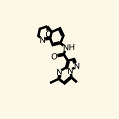 Cc1cc(C)n2ncc(C(=O)NC3=CC4C(C=C3)C3CCN4CC3)c2n1